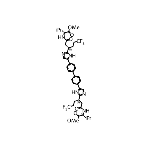 COC(=O)[C@@H](NC(=O)C[C@@H](CCC(F)(F)F)c1ncc(-c2ccc(-c3ccc(-c4cnc([C@H](CCC(F)(F)F)CC(=O)N[C@H](C(=O)OC)C(C)C)[nH]4)cc3)cc2)[nH]1)C(C)C